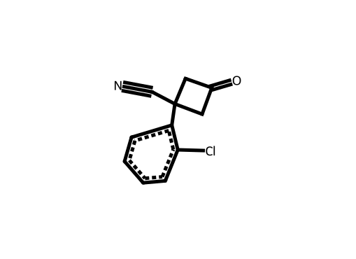 N#CC1(c2ccccc2Cl)CC(=O)C1